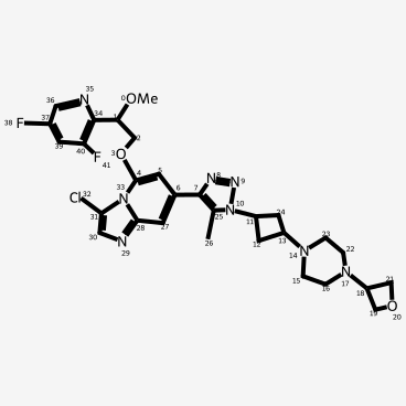 COC(COc1cc(-c2nnn(C3CC(N4CCN(C5COC5)CC4)C3)c2C)cc2ncc(Cl)n12)c1ncc(F)cc1F